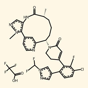 C[C@@H]1CCC[C@H](N2CCC(c3c(-c4cnn(C(F)F)c4)ccc(Cl)c3F)=CC2=O)c2cc(ccn2)-c2c(cnn2C)NC1=O.O=C(O)C(F)(F)F